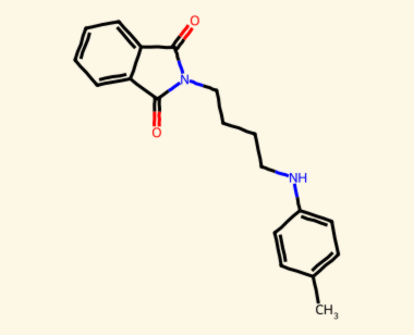 Cc1ccc(NCCCCN2C(=O)c3ccccc3C2=O)cc1